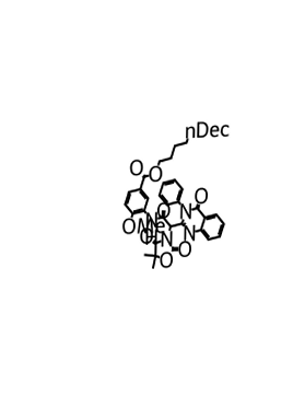 CCCCCCCCCCCCCCOC(=O)c1ccc(OC)c(NC(=O)C(c2nc3ccccc3c(=O)n2-c2ccccc2)N2C(=O)OC(C)(C)C2=O)c1